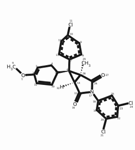 COC1=CCC([C@]2(c3ccc(Cl)cc3)[C@@H]3C(=O)N(c4cc(Cl)cc(Cl)c4)C(=O)[C@@]32C)C=C1